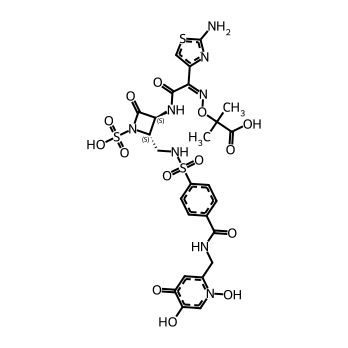 CC(C)(ON=C(C(=O)N[C@@H]1C(=O)N(S(=O)(=O)O)[C@H]1CNS(=O)(=O)c1ccc(C(=O)NCc2cc(=O)c(O)cn2O)cc1)c1csc(N)n1)C(=O)O